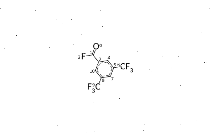 O=C(F)c1cc(C(F)(F)F)cc(C(F)(F)F)c1